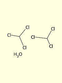 ClC(Cl)Cl.ClC(Cl)Cl.O